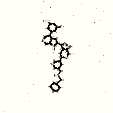 Oc1cc(F)cc(-c2cncc3[nH]c(-c4n[nH]c5cnc(-c6cncc(CNCc7ccccc7)c6)cc45)cc23)c1